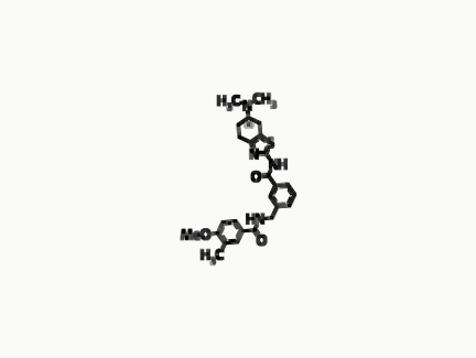 COc1ccc(C(=O)NCc2cccc(C(=O)Nc3nc4c(s3)C[C@H](N(C)C)CC4)c2)cc1C